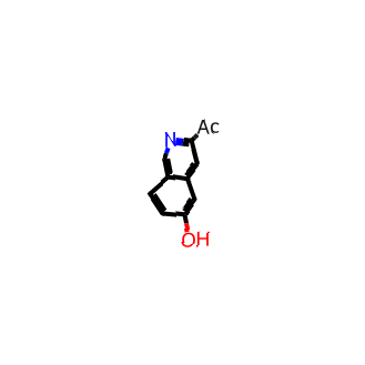 CC(=O)c1cc2cc(O)ccc2cn1